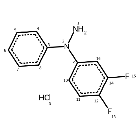 Cl.NN(c1ccccc1)c1ccc(F)c(F)c1